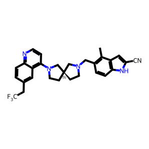 Cc1c(CN2CC[C@]3(CCN(c4ccnc5ccc(CC(F)(F)F)cc45)C3)C2)ccc2[nH]c(C#N)cc12